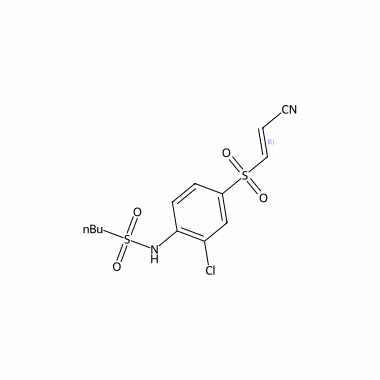 CCCCS(=O)(=O)Nc1ccc(S(=O)(=O)/C=C/C#N)cc1Cl